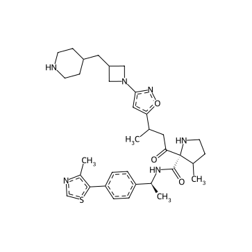 Cc1ncsc1-c1ccc([C@H](C)NC(=O)[C@]2(C(=O)CC(C)c3cc(N4CC(CC5CCNCC5)C4)no3)NCCC2C)cc1